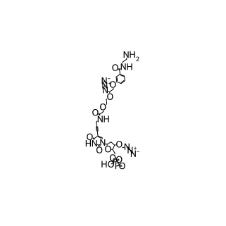 [N-]=[N+]=NCOC1CC(n2cc(C#CCNC(=O)COCCOC(COc3cccc(C(=O)NCCN)c3)N=[N+]=[N-])c(=O)[nH]c2=O)OC1COP(=O)(O)P=O